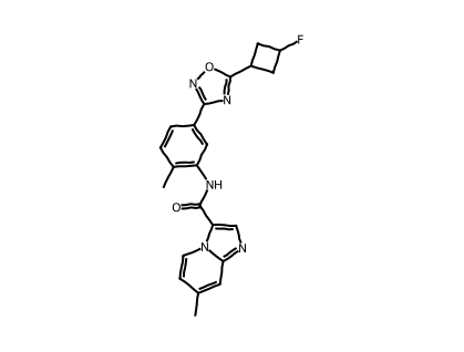 Cc1ccn2c(C(=O)Nc3cc(-c4noc(C5CC(F)C5)n4)ccc3C)cnc2c1